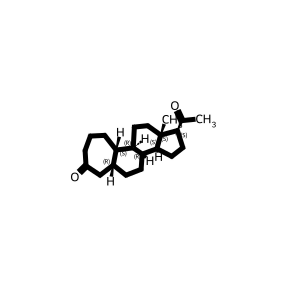 CC(=O)[C@H]1CC[C@H]2[C@@H]3CC[C@@H]4CC(=O)CCC[C@@H]4[C@H]3CC[C@]12C